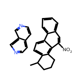 CC1CCCc2c1ccc1c2c([N+](=O)[O-])cc2ccccc21.c1cc2ccncc2cn1